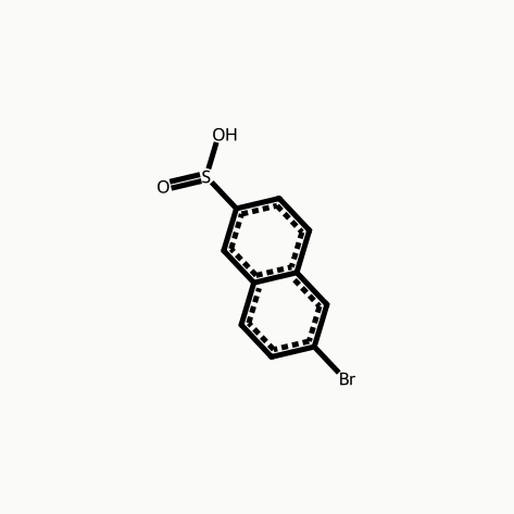 O=S(O)c1ccc2cc(Br)ccc2c1